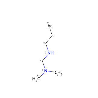 CC(=O)CCNCN(C)C